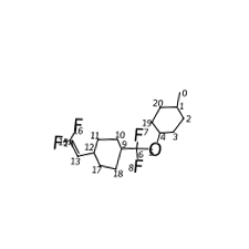 CC1CCC(OC(F)(F)C2CCC(C=C(F)F)CC2)CC1